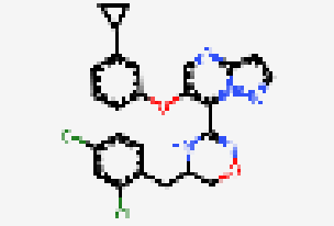 Clc1ccc(CC2CON=C(c3c(Oc4cccc(C5CC5)c4)cnc4ccnn34)N2)c(Cl)c1